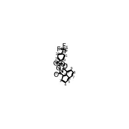 O=C1c2cccc3cccc(c23)C(=O)N1OS(=O)(=O)c1ccc(C(F)(F)F)cc1